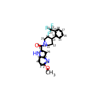 COc1ccc2[nH]c(C(=O)N3CCC(c4ccccc4C(F)(F)F)CC3)cc2n1